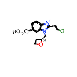 O=C(O)c1ccc2nc(CCCl)n(C[C@@H]3CCO3)c2c1